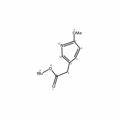 COc1ccc(CC(=O)OC(C)(C)C)cn1